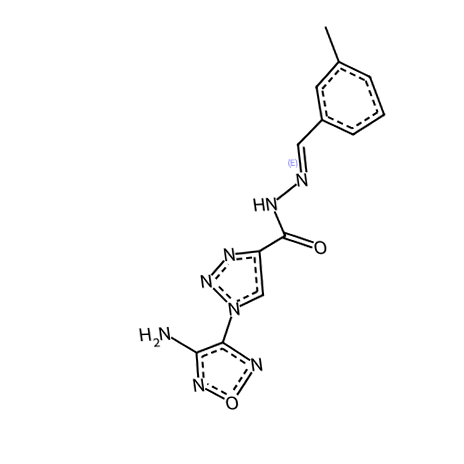 Cc1cccc(/C=N/NC(=O)c2cn(-c3nonc3N)nn2)c1